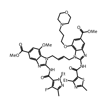 CCc1nc(C)sc1C(=O)Nc1nc2cc(C(=O)OC)cc(OCCCN3CCOCC3)c2n1C/C=C/Cn1c(NC(=O)c2c(F)c(C)nn2CC)nc2cc(C(=O)OC)cc(OC)c21